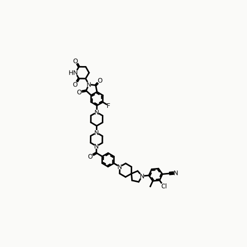 Cc1c(N2CCC3(CCN(c4ccc(C(=O)N5CCN(C6CCN(c7cc8c(cc7F)C(=O)N(C7CCC(=O)NC7=O)C8=O)CC6)CC5)cc4)CC3)C2)ccc(C#N)c1Cl